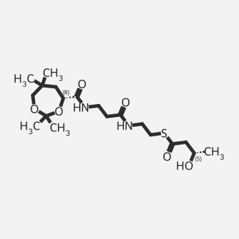 C[C@H](O)CC(=O)SCCNC(=O)CCNC(=O)[C@H]1CC(C)(C)COC(C)(C)O1